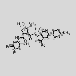 C=C[C@@H]1[C@@H](C)C[C@@H](C(=O)Nc2nc(Br)c(F)cc2C)N1C(=O)Cn1cc(C(C)=O)c2cc(-c3cnc(C)nc3)nc(C)c21